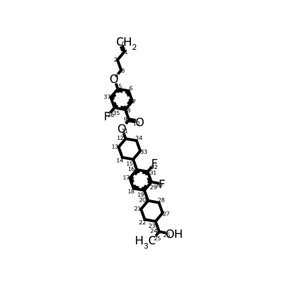 C=CCCOc1ccc(C(=O)OC2CCC(c3ccc(C4CCC(C(C)O)CC4)c(F)c3F)CC2)c(F)c1